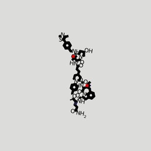 Cc1ncsc1-c1ccc(CNC(=O)[C@@H]2C[C@@H](O)CN2C(=O)[C@@H](NC(=O)CCC2CCN(c3ccc(CO[C@H](C)/C(=C/CC(N)=O)NC(=O)[C@@H]4Cc5cccc6c5N4C(=O)[C@@H](NC(=O)OC(C)(C)C)CC6)cc3)CC2)C(C)(C)C)cc1